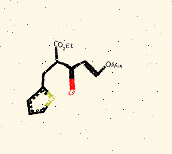 CCOC(=O)C(Cc1cccs1)C(=O)C=COC